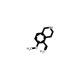 C=Cc1c(OC)ccc2c1CCNC2